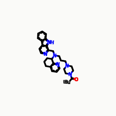 CC(C)(C)C(=O)N1CCN(CCCN(Cc2nccc3c2[nH]c2ccccc23)C2CCCc3cccnc32)CC1